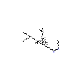 CCCCC/C=C\C/C=C\CCCCCCC(CC(COC(=O)CCCCCC(CCCCCC)CCCCCC)COC(=O)OCCCN(CC)CC)C(=O)O